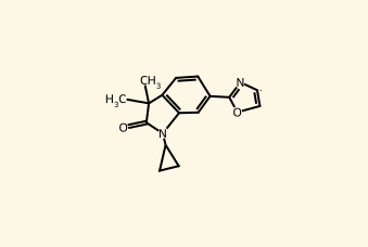 CC1(C)C(=O)N(C2CC2)c2cc(-c3n[c]co3)ccc21